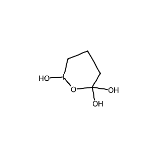 OI1CCCC(O)(O)O1